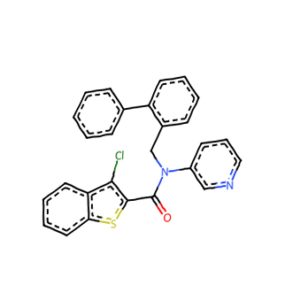 O=C(c1sc2ccccc2c1Cl)N(Cc1ccccc1-c1ccccc1)c1cccnc1